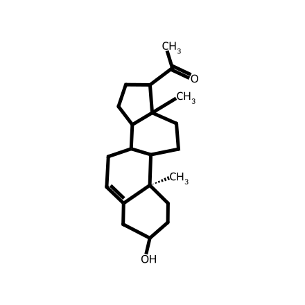 CC(=O)C1CCC2C3CC=C4CC(O)CC[C@]4(C)C3CCC12C